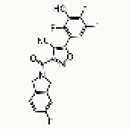 N#Cc1c(C(=O)N2Cc3ccc(F)cc3C2)noc1-c1cc(F)c(F)c(O)c1F